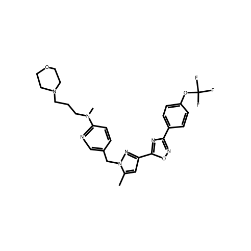 Cc1cc(-c2nc(-c3ccc(OC(F)(F)F)cc3)no2)nn1Cc1ccc(N(C)CCCN2CCOCC2)nc1